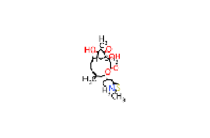 C/C1=C/CCC[C@@H]2C[C@@](C)(C(=O)[C@@H](C)[C@@H]2O)[C@@H](O)CC(=O)O[C@H](/C(C)=C/c2csc(C)n2)C1